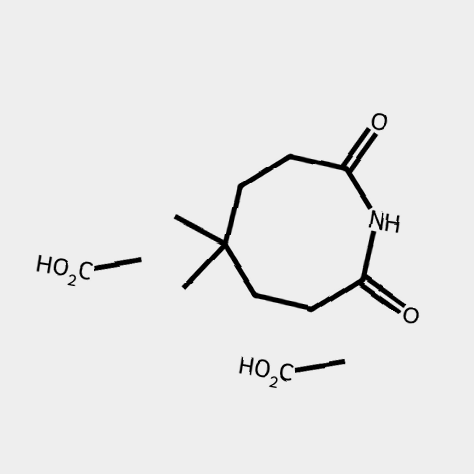 CC(=O)O.CC(=O)O.CC1(C)CCC(=O)NC(=O)CC1